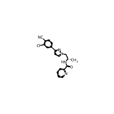 C[C@@H](Cn1ccc(-c2ccc(C#N)c(Cl)c2)n1)NC(=O)c1ccccn1